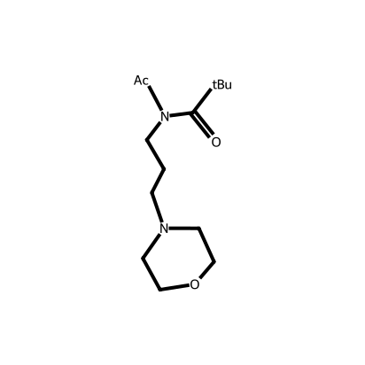 CC(=O)N(CCCN1CCOCC1)C(=O)C(C)(C)C